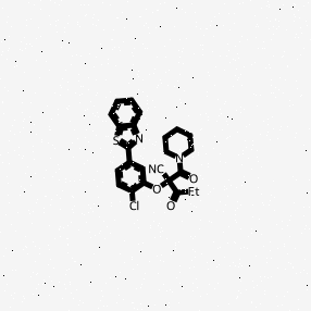 CCC(=O)C(C#N)(Oc1cc(-c2nc3ccccc3s2)ccc1Cl)C(=O)N1CCCCC1